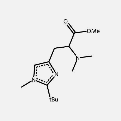 COC(=O)C(Cc1cn(C)c(C(C)(C)C)n1)N(C)C